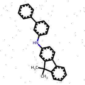 CC1(C)c2ccccc2-c2ccc(Nc3cccc(-c4ccccc4)c3)cc21